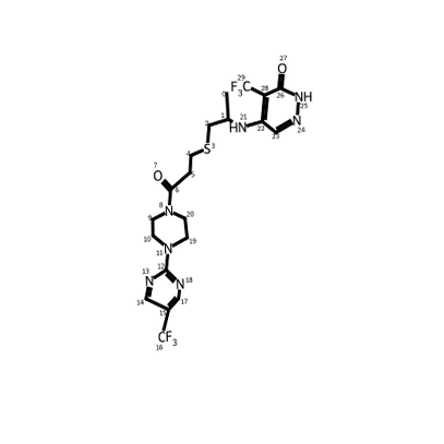 CC(CSCCC(=O)N1CCN(c2ncc(C(F)(F)F)cn2)CC1)Nc1cn[nH]c(=O)c1C(F)(F)F